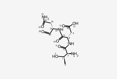 C[C@@H](O)[C@H](N)C(=O)N[C@@H](CC(=O)O)C(=O)N[C@H]([C]=O)CC(N)=O